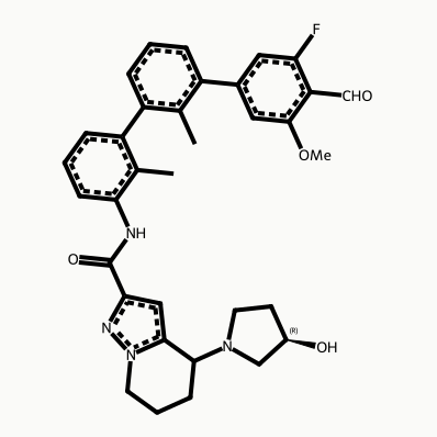 COc1cc(-c2cccc(-c3cccc(NC(=O)c4cc5n(n4)CCCC5N4CC[C@@H](O)C4)c3C)c2C)cc(F)c1C=O